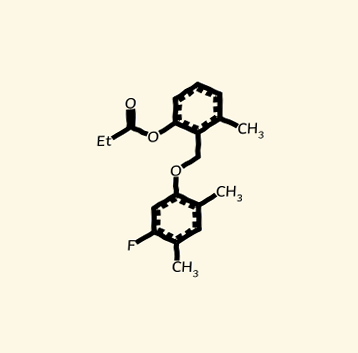 CCC(=O)Oc1cccc(C)c1COc1cc(F)c(C)cc1C